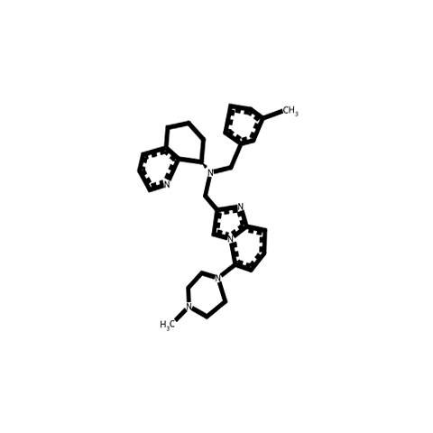 Cc1cccc(CN(Cc2cn3c(N4CCN(C)CC4)cccc3n2)[C@H]2CCCc3cccnc32)c1